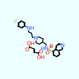 O=C(O)/C=C/C(=O)O.O=S(=O)(NCC1CCN(CCCNc2ccc(F)cc2)CC1)c1cccc2cnccc12